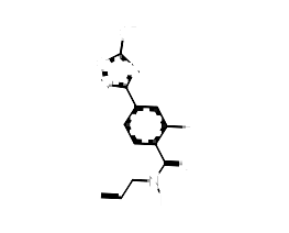 C=CCN(CC)C(=O)c1ccc(-c2noc(C(F)(F)F)n2)cc1F